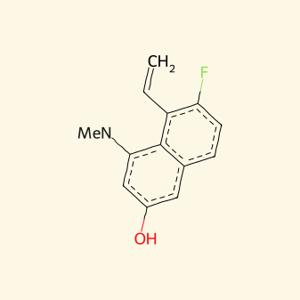 C=Cc1c(F)ccc2cc(O)cc(NC)c12